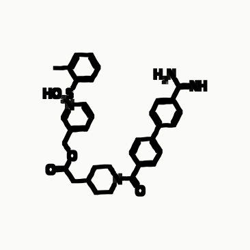 Cc1ccccc1S(=O)(=O)O.N=C(N)c1ccc(-c2ccc(C(=O)N3CCC(CC(=O)OCc4cccnc4)CC3)cc2)cc1